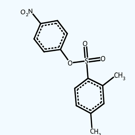 Cc1ccc(S(=O)(=O)Oc2ccc([N+](=O)[O-])cc2)c(C)c1